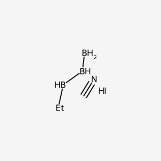 BBBCC.C#N.I